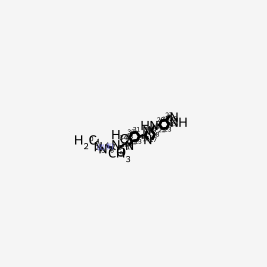 C=C/N=N\C=C(/C)NC(=O)c1nc2cc(-c3nccc(Nc4ccc5[nH]ncc5c4)n3)ccc2o1